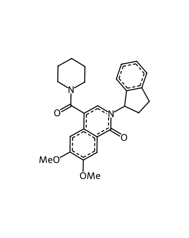 COc1cc2c(C(=O)N3CCCCC3)cn(C3CCc4ccccc43)c(=O)c2cc1OC